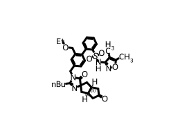 CCCCC1=NC2(C[C@H]3CC(=O)C[C@H]3C2)C(=O)N1Cc1ccc(-c2ccccc2S(=O)(=O)Nc2noc(C)c2C)c(COCC)c1